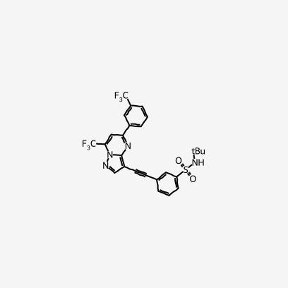 CC(C)(C)NS(=O)(=O)c1cccc(C#Cc2cnn3c(C(F)(F)F)cc(-c4cccc(C(F)(F)F)c4)nc23)c1